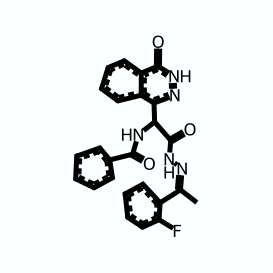 CC(=NNC(=O)C(NC(=O)c1ccccc1)c1n[nH]c(=O)c2ccccc12)c1ccccc1F